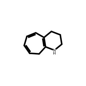 C1=CCC2=C(C=C1)CCCN2